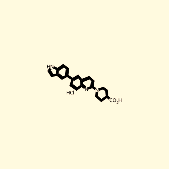 Cl.O=C(O)C1CCN(c2ccc3cc(-c4ccc5[nH]ccc5c4)ccc3n2)CC1